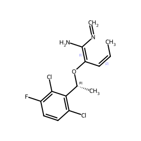 C=N/C(N)=C(\C=C/C)O[C@H](C)c1c(Cl)ccc(F)c1Cl